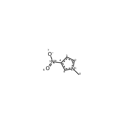 Cn1[c]cc([N+](=O)[O-])c1